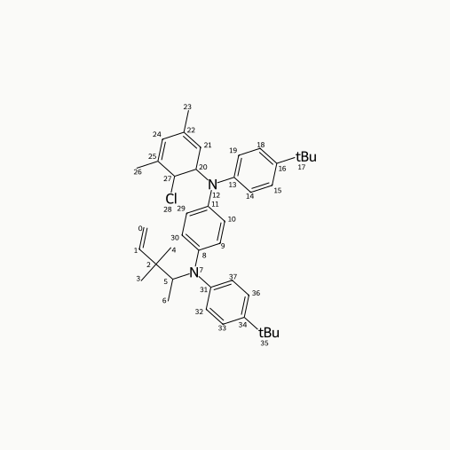 C=CC(C)(C)C(C)N(c1ccc(N(c2ccc(C(C)(C)C)cc2)C2C=C(C)C=C(C)C2Cl)cc1)c1ccc(C(C)(C)C)cc1